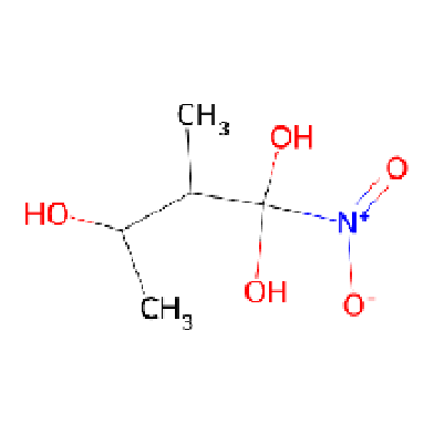 CC(O)C(C)C(O)(O)[N+](=O)[O-]